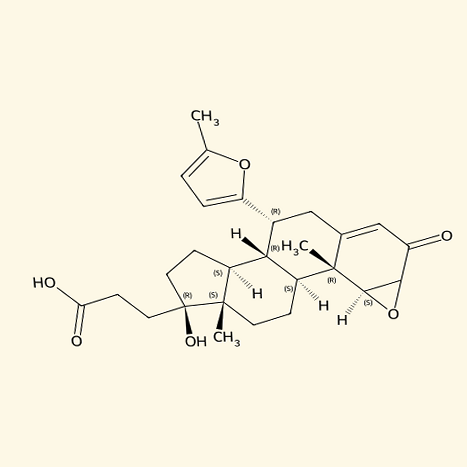 Cc1ccc([C@@H]2CC3=CC(=O)C4O[C@H]4[C@]3(C)[C@H]3CC[C@@]4(C)[C@@H](CC[C@@]4(O)CCC(=O)O)[C@H]23)o1